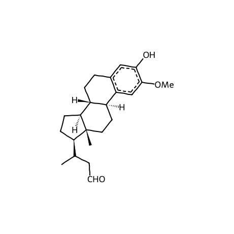 COc1cc2c(cc1O)CC[C@@H]1[C@@H]2CC[C@]2(C)[C@@H](C(C)CC=O)CC[C@@H]12